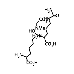 CNCC(=O)O.NC(=O)NCCC[C@H](N)C(=O)O.N[C@@H](CCCCNO)C(=O)O